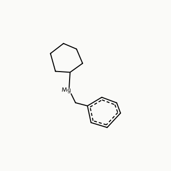 c1ccc([CH2][Mg][CH]2CCCCC2)cc1